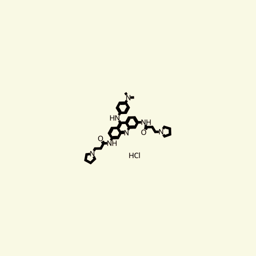 CN(C)c1ccc(Nc2c3ccc(NC(=O)CCN4CCCC4)cc3nc3cc(NC(=O)CCN4CCCC4)ccc23)cc1.Cl